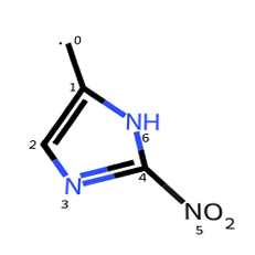 [CH2]c1cnc([N+](=O)[O-])[nH]1